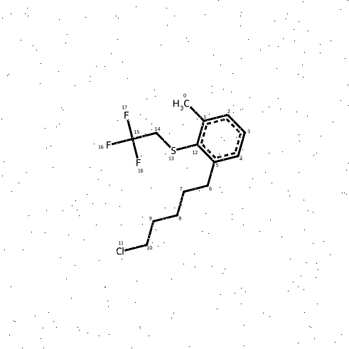 Cc1cc[c]c(CCCCCCl)c1SCC(F)(F)F